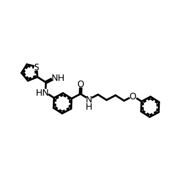 N=C(Nc1cccc(C(=O)NCCCCOc2ccccc2)c1)c1cccs1